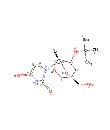 CC(C)(C)[Si](C)(C)OC1C[C@]2(CO)CO[C@H]1C(n1ccc(=O)[nH]c1=O)O2